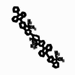 CC1(C)c2cc(-c3c4ccccc4c(C4=CC=C5C6CCC(C7=CC8C(C=C7)c7ccc(-c9c%10ccccc%10c(-c%10ccccc%10)c%10ccccc9%10)cc7C8(C)C)C(I)C6C(C)(C)C5C4)c4ccccc34)ccc2C2C=CC=CC21